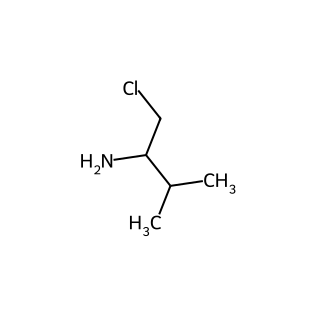 CC(C)C(N)CCl